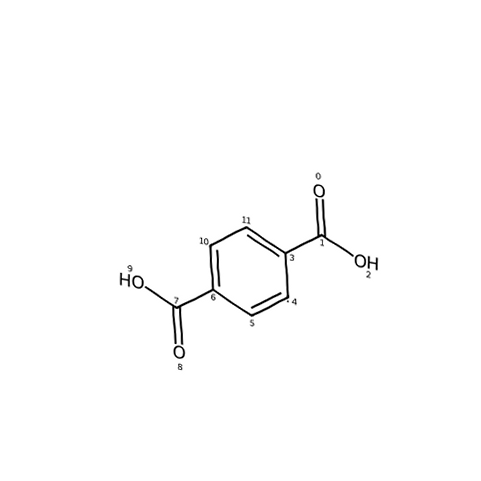 O=C(O)c1[c]cc(C(=O)O)cc1